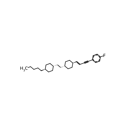 CCCCC[C@H]1CC[C@H](CC[C@H]2CC[C@H](C=CC#Cc3ccc(F)cc3)CC2)CC1